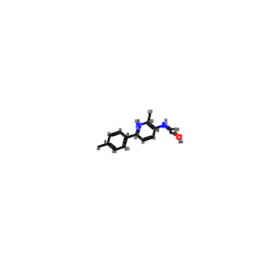 Cc1ccc(-c2ccc(N=C=O)c(C)n2)cc1